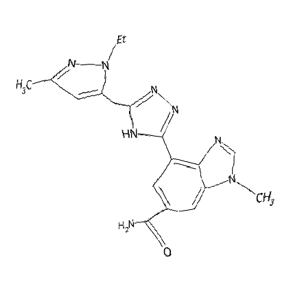 CCn1nc(C)cc1-c1nnc(-c2cc(C(N)=O)cc3c2ncn3C)[nH]1